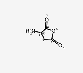 N[C@@H]1CC(=O)OC1=O